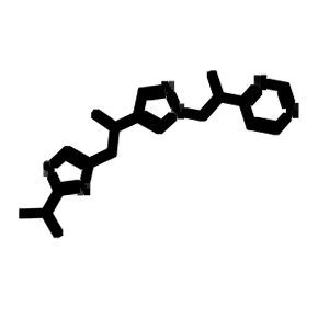 CC(C)c1nc(CC(C)c2cnn(CC(C)c3ccncn3)c2)cs1